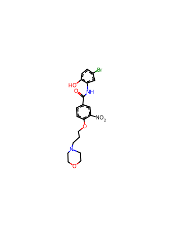 O=C(Nc1cc(Br)ccc1O)c1ccc(OCCCN2CCOCC2)c([N+](=O)[O-])c1